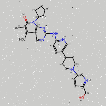 CC(=O)c1c(C)c2cnc(Nc3ccc(C4CCN(c5ccc(CO)nc5)CC4)cn3)nc2n(C2CCCC2)c1=O